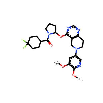 COc1cc(N2CCc3ncnc(OC4CCCN4C(=O)C4CCC(F)(F)CC4)c3C2)cnc1OC